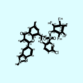 Cc1cc([C@@H](C)Oc2ccc(Cl)nc2S(=O)(=O)Oc2c(F)c(F)c(F)c(F)c2F)c2oc(-c3ccc4nn(C)cc4c3)c(C)c(=O)c2c1